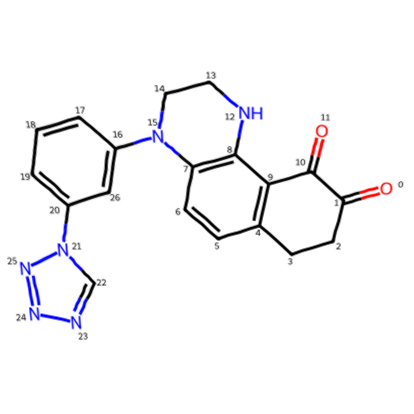 O=C1CCc2ccc3c(c2C1=O)NCCN3c1cccc(-n2cnnn2)c1